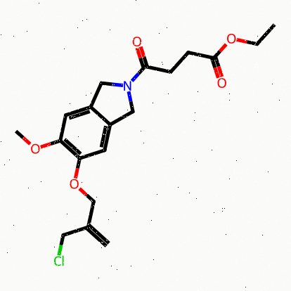 C=C(CCl)COc1cc2c(cc1OC)CN(C(=O)CCC(=O)OCC)C2